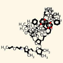 C=CCOC/C=C/[C@H]1CC(=C)[C@H](CC[C@H]2C[C@@H](C)C(=C)[C@@H](C[C@@H]3O[C@H](C[C@H]4CN(C(=O)OC(C)(C)C)C(C)(C)O4)[C@H](OC)[C@H]3CC(=O)C[C@H]3CC[C@@H]4O[C@@H]5[C@@H](O[C@H](C[C@@H](C=C)O[Si](CC)(CC)CC)[C@@H]5O[Si](c5ccccc5)(c5ccccc5)C(C)(C)C)[C@@H](O[Si](c5ccccc5)(c5ccccc5)C(C)(C)C)[C@H]4O3)O2)O1